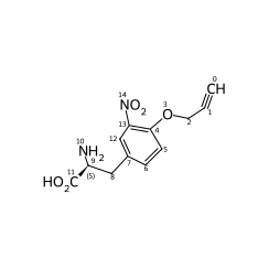 C#CCOc1ccc(C[C@H](N)C(=O)O)cc1[N+](=O)[O-]